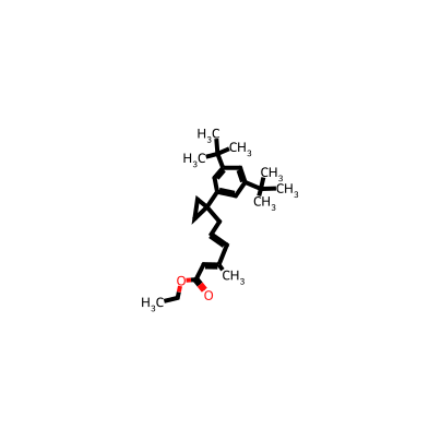 CCOC(=O)C=C(C)C=CCC1(c2cc(C(C)(C)C)cc(C(C)(C)C)c2)CC1